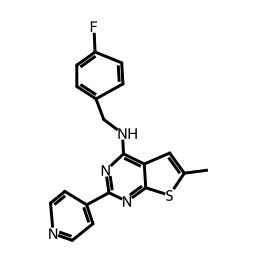 Cc1cc2c(NCc3ccc(F)cc3)nc(-c3ccncc3)nc2s1